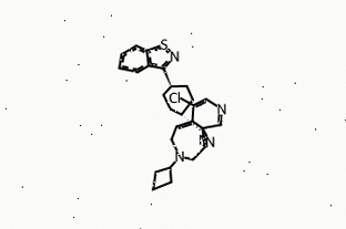 ClC1=CN=CC23C1=CCN(C1CCC1)CC2=NN=C3[C@H]1CC[C@H](c2nsc3ccccc32)CC1